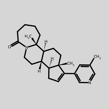 Cc1cncc(C2=CC[C@H]3[C@@H]4CCN5C(=O)CCCC[C@]5(C)[C@H]4CC[C@]23C)c1